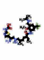 C=C/C(=C\C=C(\C)CN(N)/C=C(\N)c1cnc(NC(=O)O)s1)C(=O)Nc1cc(C(F)(F)F)cc(CNC(C)C)c1OC